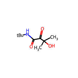 CC(C)(C)NC(=O)C(=O)C(C)(C)O